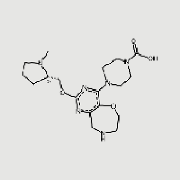 CN1CCC[C@H]1COc1nc2c(c(N3CCN(C(=O)O)CC3)n1)OCCNC2